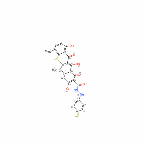 COc1ccc(O)c2c1SC1C(=C(O)C3C(=O)C(C(=O)NNC4=CCC(=S)C=C4)=C(O)CC3C1C)C2=O